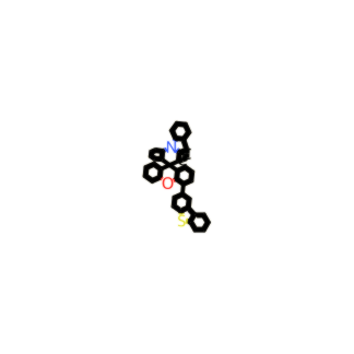 c1ccc2c(c1)Oc1c(-c3ccc4sc5ccccc5c4c3)cccc1C21c2ccccc2-n2c3ccccc3c3cccc1c32